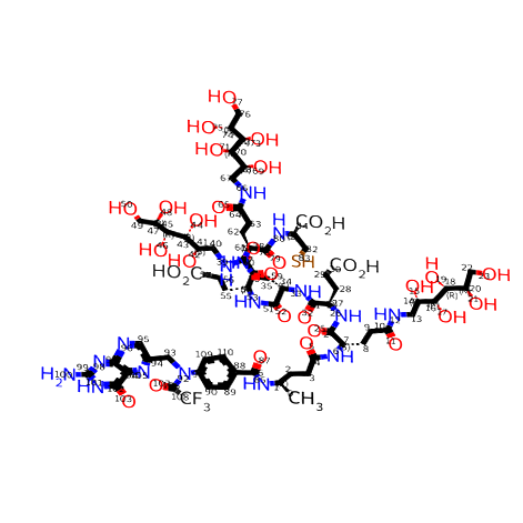 C[C@H](CCC(=O)N[C@@H](CCC(=O)NC[C@H](O)[C@@H](O)[C@H](O)[C@H](O)CO)C(=O)N[C@H](CCC(=O)O)C(=O)N[C@@H](CCC(=O)NC[C@H](O)[C@@H](O)[C@H](O)[C@H](O)CO)C(=O)N[C@H](CCC(=O)O)C(=O)N[C@@H](CCC(=O)NC[C@H](O)[C@@H](O)[C@H](O)[C@H](O)CO)C(=O)N[C@H](CS)C(=O)O)NC(=O)c1ccc(N(Cc2cnc3nc(N)[nH]c(=O)c3n2)C(=O)C(F)(F)F)cc1